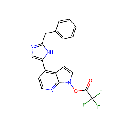 O=C(On1ccc2c(-c3cnc(Cc4ccccc4)[nH]3)ccnc21)C(F)(F)F